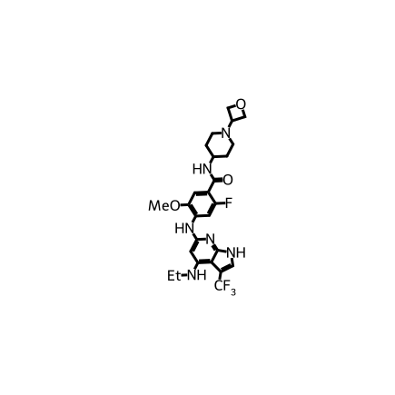 CCNc1cc(Nc2cc(F)c(C(=O)NC3CCN(C4COC4)CC3)cc2OC)nc2[nH]cc(C(F)(F)F)c12